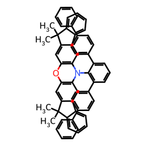 CC1(C)c2ccccc2-c2cc3c(cc21)Oc1cc2c(cc1N3c1c(-c3ccc(-c4ccccc4)cc3)cccc1-c1ccc(-c3ccccc3)cc1)-c1ccccc1C2(C)C